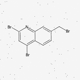 BrCc1ccc2c(Br)cc(Br)nc2c1